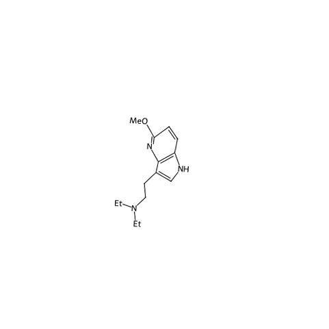 CCN(CC)CCc1c[nH]c2ccc(OC)nc12